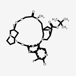 CN1CC23CCC(CN(C2)c2nc(nc4c(F)c(Cl)ncc24)OC[C@]24CCCN2C[C@@H](C4)OCCC1=O)N3C(=O)OC(C)(C)C